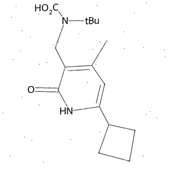 Cc1cc(C2CCC2)[nH]c(=O)c1CN(C(=O)O)C(C)(C)C